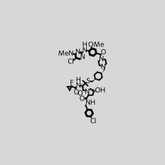 CNc1nc(Nc2ccc(C(=O)N3CCN(C[C@H]4CC[C@H](CSC(C)(C)[C@H](NC(=O)C5(F)CC5)C(=O)N5C[C@H](O)CC5C(=O)NCc5ccc(Cl)cc5)CC4)CC3)cc2OC)ncc1Cl